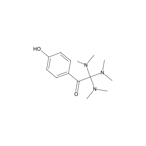 CN(C)C(C(=O)c1ccc(O)cc1)(N(C)C)N(C)C